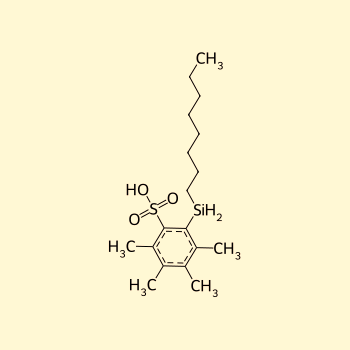 CCCCCCCC[SiH2]c1c(C)c(C)c(C)c(C)c1S(=O)(=O)O